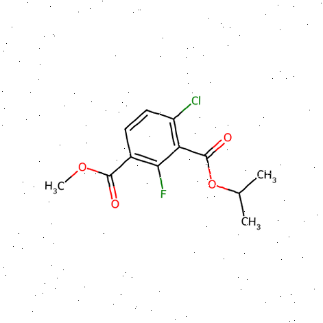 COC(=O)c1ccc(Cl)c(C(=O)OC(C)C)c1F